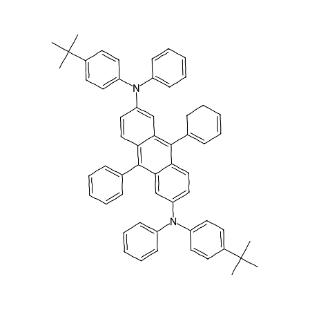 CC(C)(C)c1ccc(N(c2ccccc2)c2ccc3c(-c4ccccc4)c4cc(N(c5ccccc5)c5ccc(C(C)(C)C)cc5)ccc4c(C4=CC=CCC4)c3c2)cc1